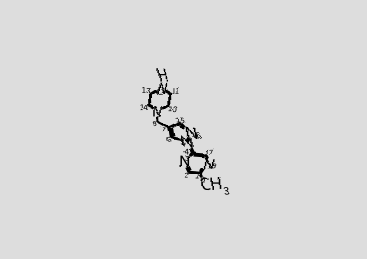 Cc1cnc(-n2cc(CN3CCNCC3)cn2)cn1